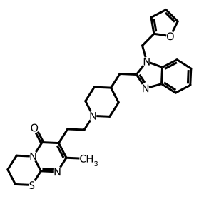 Cc1nc2n(c(=O)c1CCN1CCC(Cc3nc4ccccc4n3Cc3ccco3)CC1)CCCS2